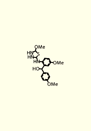 COc1ccc(C(O)c2cc(OC)ccc2NC2NNC(OC)S2)cc1